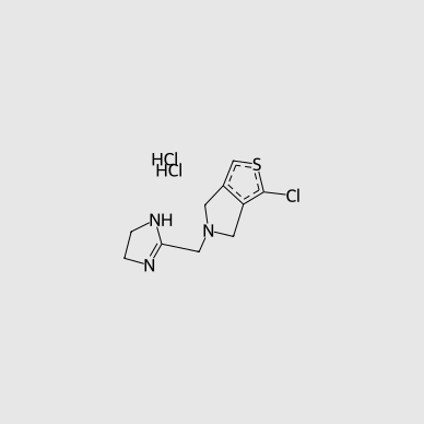 Cl.Cl.Clc1scc2c1CN(CC1=NCCN1)C2